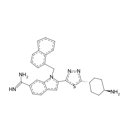 N=C(N)c1ccc2cc(-c3nnc([C@H]4CC[C@H](N)CC4)s3)n(Cc3cccc4ccccc34)c2c1